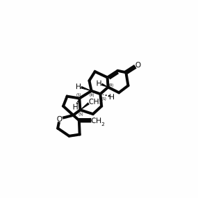 C=C1CCCOC12CC[C@H]1[C@@H]3CCC4=CC(=O)CC[C@@H]4[C@H]3CC[C@@]12C